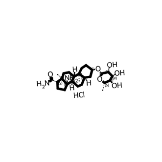 C[C@@H]1O[C@H](O[C@H]2CC[C@@]3(C)[C@H](CC[C@@H]4[C@@H]3CC[C@]3(C)[C@@H](C(N)=O)CC[C@@]43N)C2)[C@H](O)[C@H](O)[C@H]1O.Cl